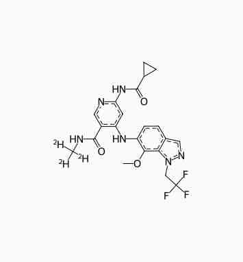 [2H]C([2H])([2H])NC(=O)c1cnc(NC(=O)C2CC2)cc1Nc1ccc2cnn(CC(F)(F)F)c2c1OC